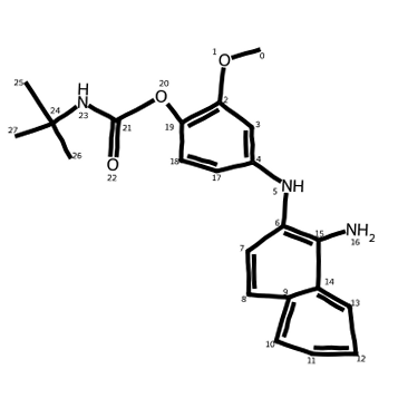 COc1cc(Nc2ccc3ccccc3c2N)ccc1OC(=O)NC(C)(C)C